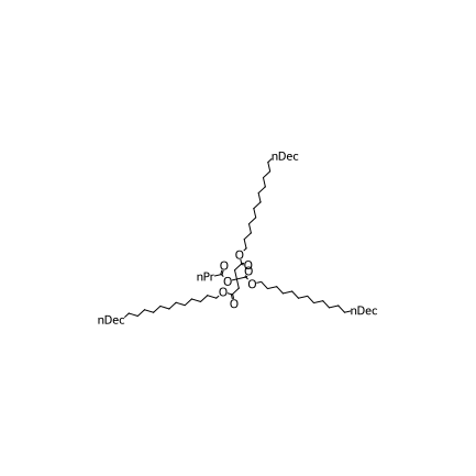 CCCCCCCCCCCCCCCCCCCCCCOC(=O)CC(CC(=O)OCCCCCCCCCCCCCCCCCCCCCC)(OC(=O)CCC)C(=O)OCCCCCCCCCCCCCCCCCCCCCC